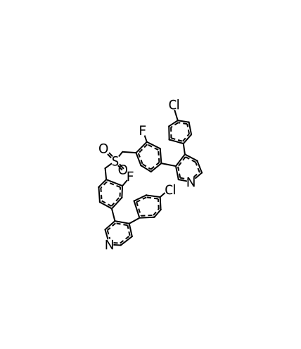 O=S(=O)(Cc1ccc(-c2cnccc2-c2ccc(Cl)cc2)cc1F)Cc1ccc(-c2cnccc2-c2ccc(Cl)cc2)cc1F